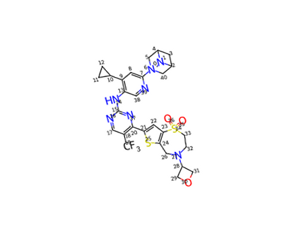 CN1C2CC1CN(c1cc(C3CC3)c(Nc3ncc(C(F)(F)F)c(-c4cc5c(s4)CN(C4COC4)CCS5(=O)=O)n3)cn1)C2